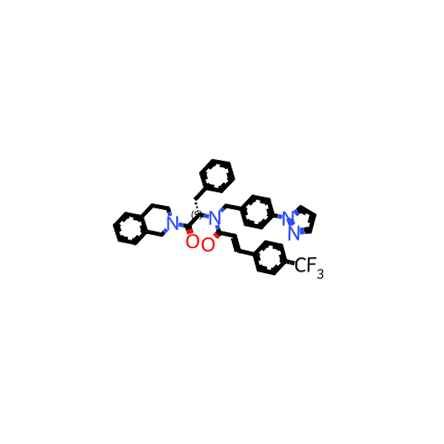 O=C([C@H](Cc1ccccc1)N(Cc1ccc(-n2cccn2)cc1)C(=O)C=Cc1ccc(C(F)(F)F)cc1)N1CCc2ccccc2C1